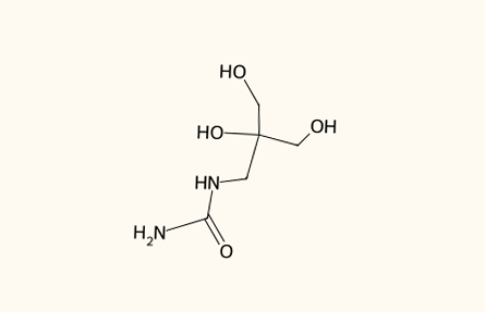 NC(=O)NCC(O)(CO)CO